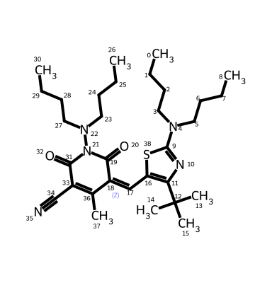 CCCCN(CCCC)c1nc(C(C)(C)C)c(/C=C2\C(=O)N(N(CCCC)CCCC)C(=O)C(C#N)=C2C)s1